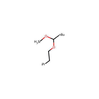 CCCCC(O[SiH3])OCCC(C)C